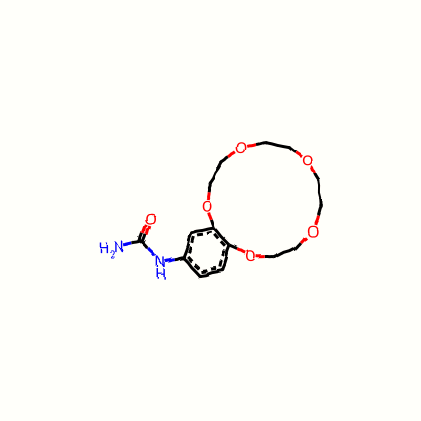 NC(=O)Nc1ccc2c(c1)OCCOCCOCCOCCO2